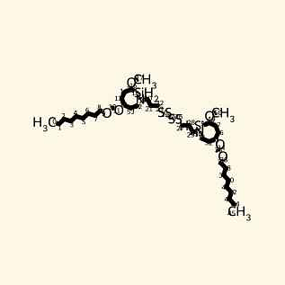 CCCCCCCCCOCOC1CCC(OC)[SiH2]N(CCCSSSSCCCN2CCC(OCOCCCCCCCCC)CCC(OC)[SiH2]2)CC1